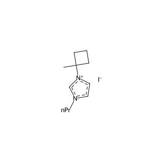 CCCn1cc[n+](C2(C)CCC2)c1.[I-]